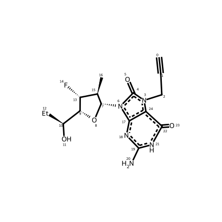 C#CCn1c(=O)n([C@@H]2O[C@H]([C@@H](O)CC)[C@H](F)[C@H]2C)c2nc(N)[nH]c(=O)c21